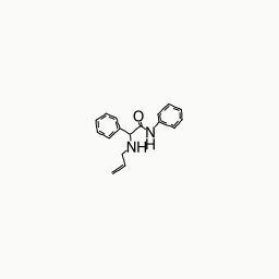 C=CCNC(C(=O)Nc1ccccc1)c1ccccc1